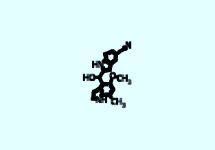 COc1cc(C)c2[nH]ccc2c1C(O)c1cc2cc(C#N)ccc2[nH]1